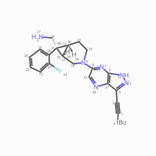 CC(C)(C)C#Cc1n[nH]c2nc(N3CC[C@@H]4[C@H](C3)[C@@]4(CN)c3ccccc3F)cnc12